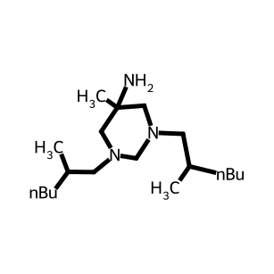 CCCCC(C)CN1CN(CC(C)CCCC)CC(C)(N)C1